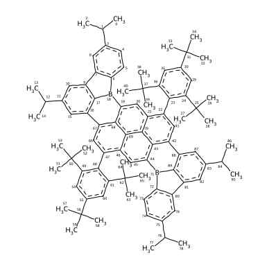 CC(C)c1ccc2c(c1)-c1cc(C(C)C)cc3c1B2c1cc2c(-c4c(C(C)(C)C)cc(C(C)(C)C)cc4C(C)(C)C)cc4c5c(cc6c(-c7c(C(C)(C)C)cc(C(C)(C)C)cc7C(C)(C)C)cc-3c1c6c25)B1c2ccc(C(C)C)cc2-c2cc(C(C)C)cc-4c21